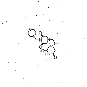 CC(CN1CC(=O)N(CN2CCSCC2)C(=O)C1)N1CC(=O)NC(=O)C1